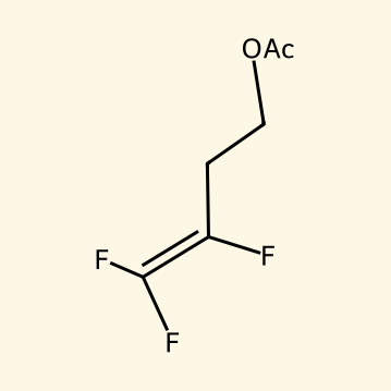 CC(=O)OCCC(F)=C(F)F